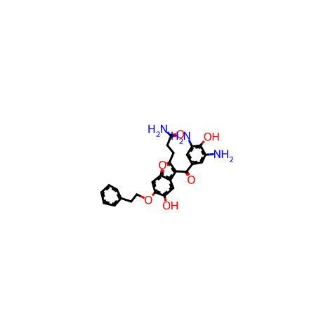 NC(=O)CCc1oc2cc(OCCc3ccccc3)c(O)cc2c1C(=O)c1cc(N)c(O)c(N)c1